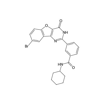 O=C(NC1CCCCC1)c1cccc(-c2nc3c(oc4ccc(Br)cc43)c(=O)[nH]2)c1